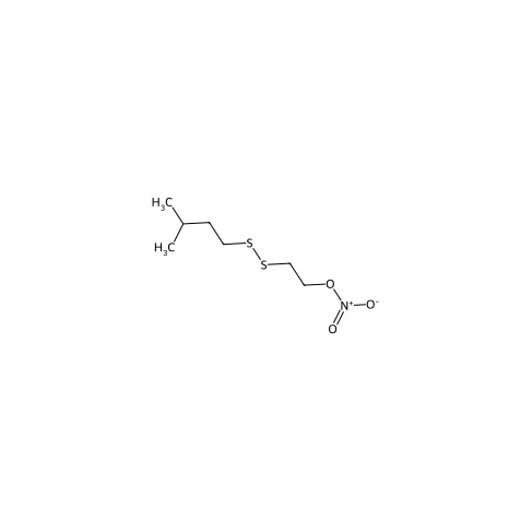 CC(C)CCSSCCO[N+](=O)[O-]